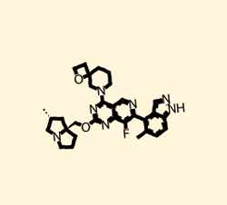 Cc1ccc2[nH]ncc2c1-c1ncc2c(N3CCCC4(CCO4)C3)nc(OC[C@@]34CCCN3C[C@H](C)C4)nc2c1F